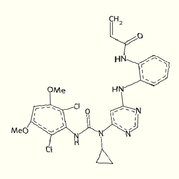 C=CC(=O)Nc1ccccc1Nc1cc(N(C(=O)Nc2c(Cl)c(OC)cc(OC)c2Cl)C2CC2)ncn1